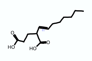 CCCCCC/C=C/C(CCC(=O)O)C(=O)O